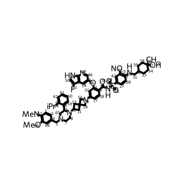 CNc1ccc(CN2CCN(C3CC4(C3)CN(c3ccc(C(=O)NS(=O)(=O)c5ccc(NCC6CCC(C)(O)CC6)c([N+](=O)[O-])c5)c(Oc5cnc6[nH]cc(F)c6c5)c3)C4)C(c3ccccc3C(C)C)C2)cc1OC